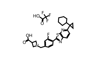 O=C(O)C(F)(F)F.O=C(O)C1CN(Cc2ccc(-c3nc4ccc(C5(C6CCCCC6)CC5)nc4s3)c(F)c2)C1